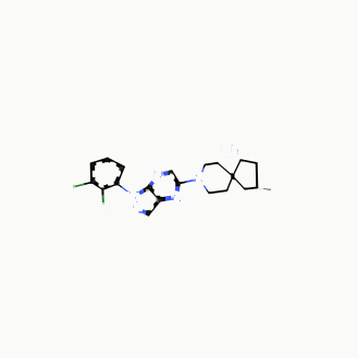 C[C@@H]1C[C@@H](N)C2(CCN(c3cnc4c(cnn4-c4cccc(Cl)c4Cl)n3)CC2)C1